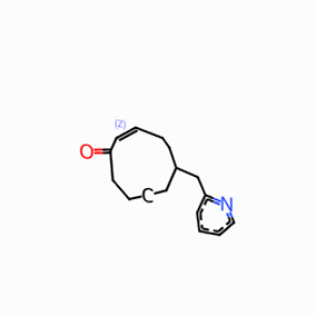 O=C1/C=C\CCC(Cc2ccccn2)CCCC1